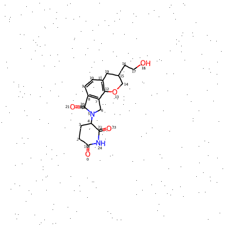 O=C1CCC(N2Cc3c(ccc4c3OCC(CCO)C4)C2=O)C(=O)N1